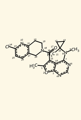 Cc1oc2ncnc(N(C)C3(C)CC3)c2c1C(=O)N1CCc2nc(Cl)ccc2C1